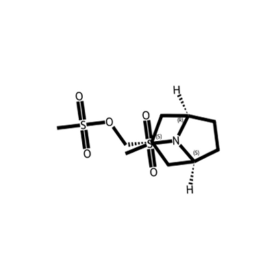 CS(=O)(=O)OC[C@@H]1C[C@H]2CC[C@@H](C1)N2S(C)(=O)=O